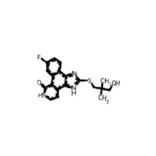 CC(C)(CO)CSc1nc2c3ccc(F)cc3c3c(=O)[nH]ccc3c2[nH]1